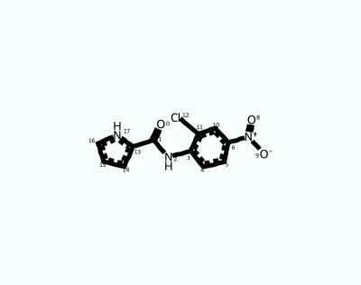 O=C(Nc1ccc([N+](=O)[O-])cc1Cl)c1ccc[nH]1